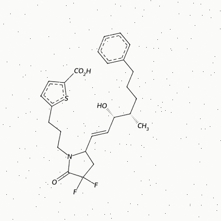 C[C@@H](CCCc1ccccc1)[C@@H](O)C=CC1CC(F)(F)C(=O)N1CCCc1ccc(C(=O)O)s1